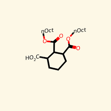 CCCCCCCCOC(=O)C1CCCC(C(=O)O)C1C(=O)OCCCCCCCC